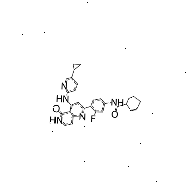 O=C(Nc1ccc(-c2cc(Nc3ccc(C4CC4)cn3)c3c(=O)[nH]ccc3n2)c(F)c1)C1CCCCC1